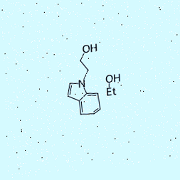 CCO.OCCn1ccc2ccccc21